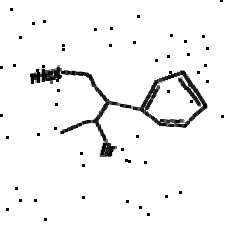 CCCCCCCCC(c1ccccc1)C(C)Br